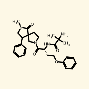 CN1CC(c2ccccc2)C2(CCN(C(=O)[C@@H](CCOc3ccccc3)NC(=O)C(C)(C)N)C2)C1=O